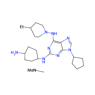 CCC1CCN(Nc2nc(NC3CCC(N)CC3)nc3c2ncn3C2CCCC2)CC1.CNC